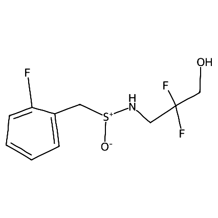 [O-][S+](Cc1ccccc1F)NCC(F)(F)CO